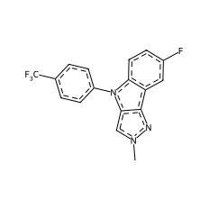 Cn1cc2c(n1)c1cc(F)ccc1n2-c1ccc(C(F)(F)F)cc1